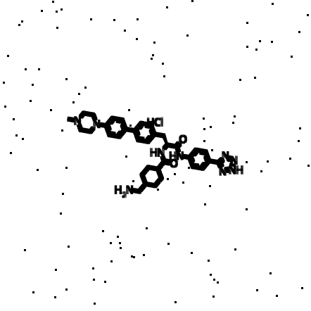 CN1CCN(c2ccc(-c3ccc(C[C@H](NC(=O)C4CCC(CN)CC4)C(=O)Nc4ccc(-c5nn[nH]n5)cc4)cc3)cc2)CC1.Cl